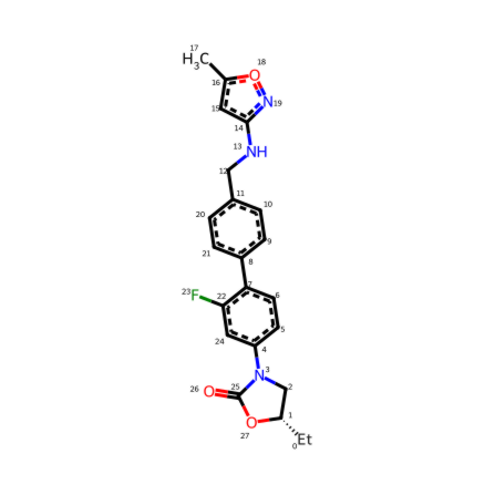 CC[C@H]1CN(c2ccc(-c3ccc(CNc4cc(C)on4)cc3)c(F)c2)C(=O)O1